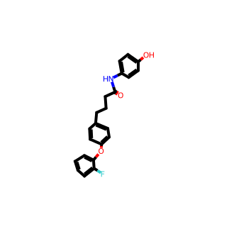 O=C(CCCc1ccc(Oc2ccccc2F)cc1)Nc1ccc(O)cc1